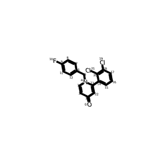 O=c1ccn(Cc2ccc(F)cc2)c(-c2cccc(Cl)c2Cl)c1